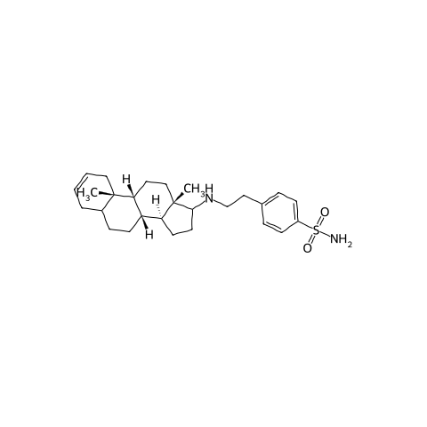 C[C@]12CC=CCC1CC[C@@H]1[C@H]2CC[C@]2(C)C(NCCc3ccc(S(N)(=O)=O)cc3)CC[C@@H]12